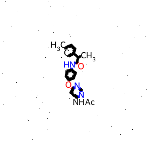 CC(=O)Nc1cc(Oc2ccc(NC(=O)C(C)c3ccc(C)cc3)cc2)ncn1